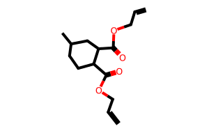 C=CCOC(=O)C1CCC(C)CC1C(=O)OCC=C